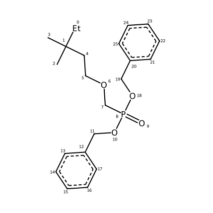 CCC(C)(C)CCOCP(=O)(OCc1ccccc1)OCc1ccccc1